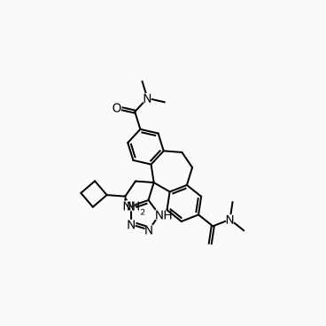 C=C(c1ccc2c(c1)CCc1cc(C(=O)N(C)C)ccc1C2(C[C@@H](N)C1CCC1)c1nnn[nH]1)N(C)C